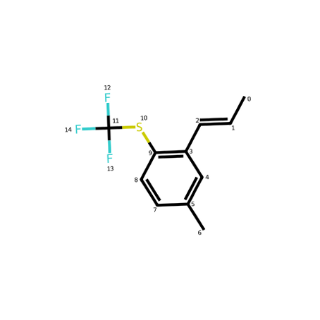 CC=Cc1cc(C)ccc1SC(F)(F)F